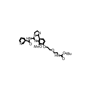 COc1c(OCCOCCNC(=O)OC(C)(C)C)ccc2c1N=C(NC(=O)c1cccnc1)N1CCN=C21